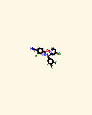 N#Cc1ccc(C(=O)NC(c2ccc(Cl)c(F)c2)c2cc(Br)ccn2)cc1F